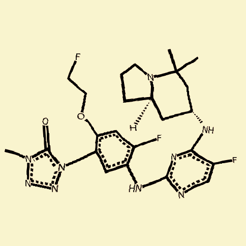 Cn1nnn(-c2cc(Nc3ncc(F)c(N[C@@H]4C[C@H]5CCCN5C(C)(C)C4)n3)c(F)cc2OCCF)c1=O